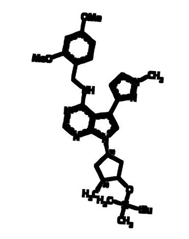 COc1ccc(CNc2ncnc3c2c(-c2ccn(C)n2)cn3[C@H]2CC(O[Si](C)(C)C(C)(C)C)[C@@H](C)C2)c(OC)c1